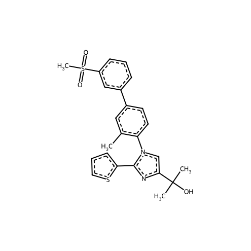 Cc1cc(-c2cccc(S(C)(=O)=O)c2)ccc1-n1cc(C(C)(C)O)nc1-c1cccs1